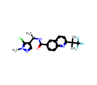 C[C@@H](NC(=O)c1ccc2nc(C(C)(C)C(F)(F)F)ccc2c1)c1cnn(C)c1Cl